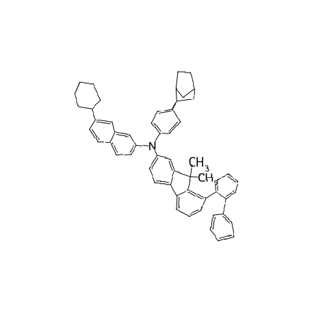 CC1(C)c2cc(N(c3ccc(C4CC5CCC4C5)cc3)c3ccc4ccc(C5CCCCC5)cc4c3)ccc2-c2cccc(-c3ccccc3-c3ccccc3)c21